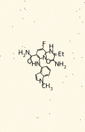 CC[C@@H](Nc1nc(Nc2cccc3c2ccn3C)c(C(N)=O)cc1F)C(N)=O